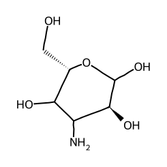 NC1C(O)[C@H](CO)OC(O)[C@H]1O